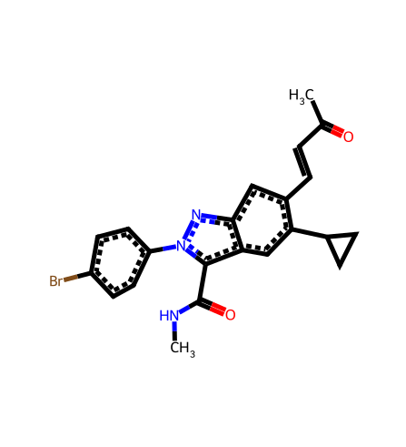 CNC(=O)c1c2cc(C3CC3)c(C=CC(C)=O)cc2nn1-c1ccc(Br)cc1